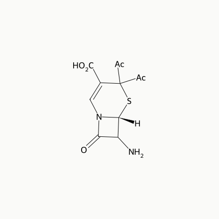 CC(=O)C1(C(C)=O)S[C@@H]2C(N)C(=O)N2C=C1C(=O)O